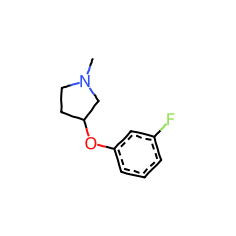 CN1CCC(Oc2cccc(F)c2)C1